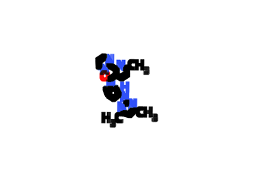 Cc1cc(C)nc(NC2CC3CC2N(C(=O)c2ccc(C)nc2-c2ncccn2)C3)n1